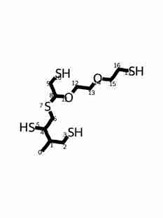 CC(CS)C(S)CSC(CS)OCCOCCS